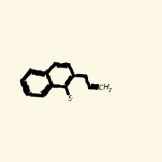 C=CCc1ccc2ccccc2c1[S]